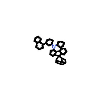 c1ccc(N(c2cccc(-c3cccc4ccccc34)c2)c2cccc3c2-c2ccccc2C32C3CC4CC(C3)CC2C4)cc1